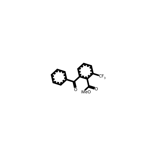 COC(=O)c1c(C(=O)c2ccccc2)cccc1C(F)(F)F